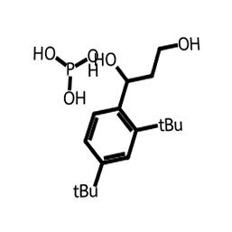 CC(C)(C)c1ccc(C(O)CCO)c(C(C)(C)C)c1.OP(O)O